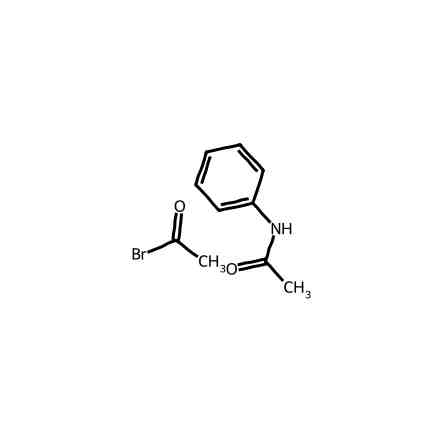 CC(=O)Br.CC(=O)Nc1ccccc1